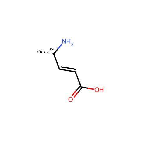 C[C@H](N)C=CC(=O)O